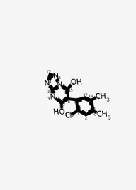 Cc1cc(Cl)c(-c2c(O)nc3ncnn3c2O)cc1C